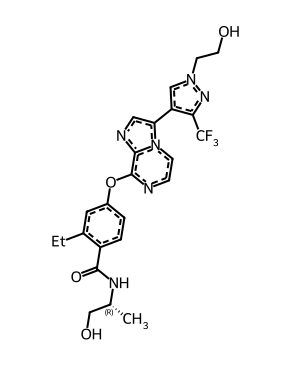 CCc1cc(Oc2nccn3c(-c4cn(CCO)nc4C(F)(F)F)cnc23)ccc1C(=O)N[C@H](C)CO